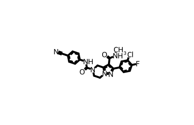 CNC(=O)c1c(-c2ccc(F)c(Cl)c2)nn2c1CN(C(=O)Nc1ccc(C#N)cc1)CC2